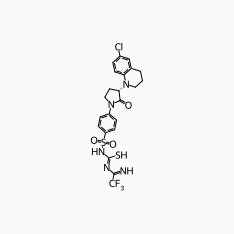 N=C(/N=C(\S)NS(=O)(=O)c1ccc(N2CC[C@H](N3CCCc4cc(Cl)ccc43)C2=O)cc1)C(F)(F)F